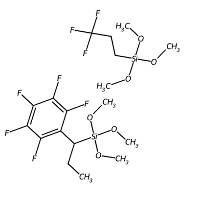 CCC(c1c(F)c(F)c(F)c(F)c1F)[Si](OC)(OC)OC.CO[Si](CCC(F)(F)F)(OC)OC